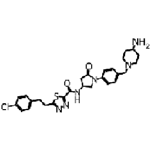 NC1CCN(Cc2ccc(N3CC(NC(=O)c4nnc(CCc5ccc(Cl)cc5)s4)CC3=O)cc2)CC1